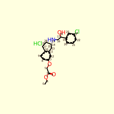 CCOC(=O)COc1ccc2c(c1)C[C@@H](NCC(O)c1cccc(Cl)c1)CC2.Cl